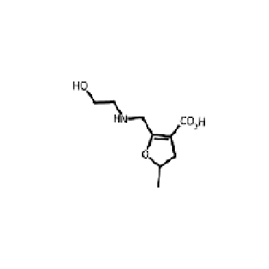 CC1CC(C(=O)O)=C(CNCCO)O1